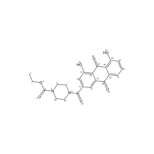 CCOC(=O)N1CCN(C(=O)c2cc(O)c3c(c2)C(=O)c2cccc(O)c2C3=O)CC1